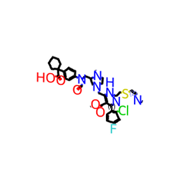 C=N/C=C\SCC1=N[C@@H](c2ccc(F)cc2Cl)C(C(=O)OC)=C(CN2CCN(C)C(CN(C=O)c3ccc(C4(C(=O)O)CCCCC4)cc3)C2)N1